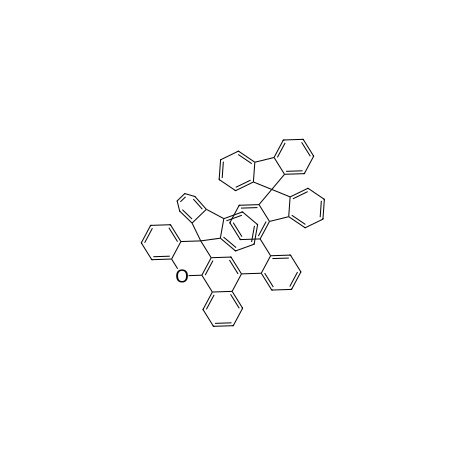 c1ccc2c(c1)Oc1c(cc(-c3ccccc3-c3cccc4c3-c3ccccc3C43c4ccccc4-c4ccccc43)c3ccccc13)C21c2ccccc2-c2ccccc21